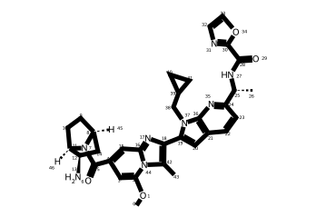 COc1cc(C(=O)N2[C@H]3CC[C@@H]2[C@H](N)C3)cc2nc(-c3cc4ccc([C@@H](C)NC(=O)c5ncco5)nc4n3CC3CC3)c(C)n12